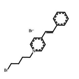 BrCCCC[n+]1ccc(C=Cc2ccccc2)cc1.[Br-]